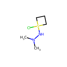 CN(C)NS1(Cl)CCC1